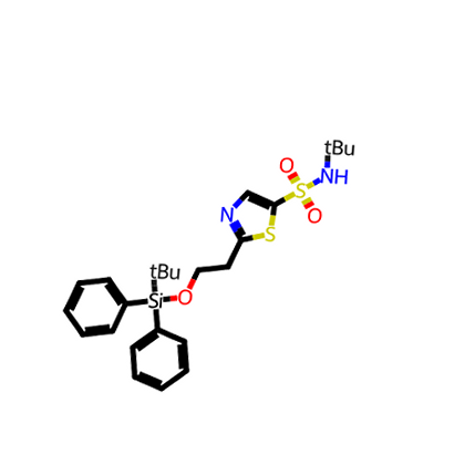 CC(C)(C)NS(=O)(=O)c1cnc(CCO[Si](c2ccccc2)(c2ccccc2)C(C)(C)C)s1